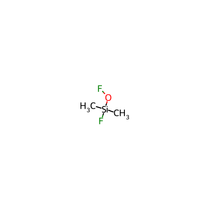 C[Si](C)(F)OF